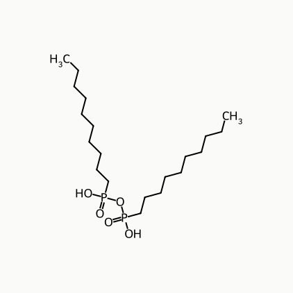 CCCCCCCCCCP(=O)(O)OP(=O)(O)CCCCCCCCCC